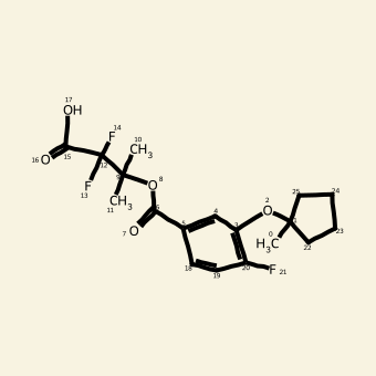 CC1(Oc2cc(C(=O)OC(C)(C)C(F)(F)C(=O)O)ccc2F)CCCC1